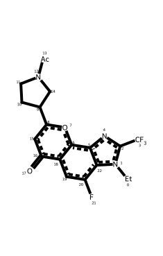 CCn1c(C(F)(F)F)nc2c3oc(C4CCN(C(C)=O)C4)cc(=O)c3cc(F)c21